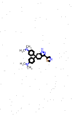 CN(C)c1ccc(C2(c3ccc(N(C)C)cc3)C=Cc3c(-c4cncs4)n[nH]c3C2)cc1